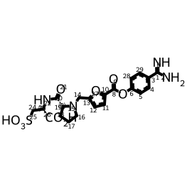 N=C(N)c1ccc(OC(=O)c2ccc(CN3CCC[C@@H]3C(=O)N[C@@H](CS(=O)(=O)O)C(=O)O)o2)cc1